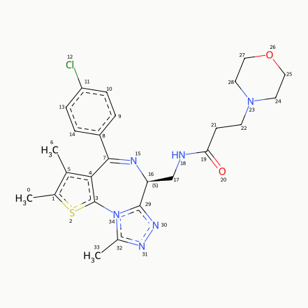 Cc1sc2c(c1C)C(c1ccc(Cl)cc1)=N[C@@H](CNC(=O)CCN1CCOCC1)c1nnc(C)n1-2